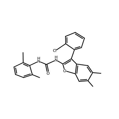 Cc1cc2oc(NC(=O)Nc3c(C)cccc3C)c(-c3ccccc3Cl)c2cc1C